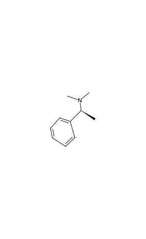 C[C@@H](c1[c]cccc1)N(C)C